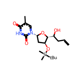 C=CCC(O)[C@H]1O[C@@H](n2cc(C)c(=O)[nH]c2=O)C[C@@H]1O[Si](C)(C)C(C)(C)C